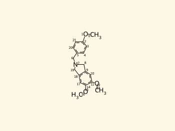 COc1ccc(CN2Cc3cc(OC)c(OC)cc3C2)cc1